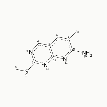 CSc1ncc2cc(C)c(N)nc2n1